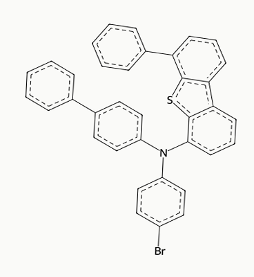 Brc1ccc(N(c2ccc(-c3ccccc3)cc2)c2cccc3c2sc2c(-c4ccccc4)cccc23)cc1